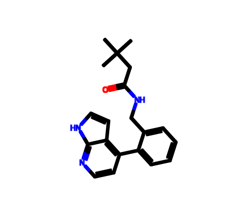 CC(C)(C)CC(=O)NCc1ccccc1-c1ccnc2[nH]ccc12